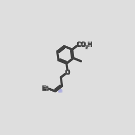 CC/C=C\COc1cccc(C(=O)O)c1C